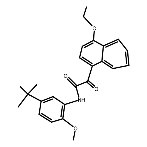 CCOc1ccc(C(=O)C(=O)Nc2cc(C(C)(C)C)ccc2OC)c2ccccc12